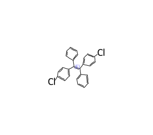 Clc1ccc(/C(=C(\c2ccccc2)c2ccc(Cl)cc2)c2ccccc2)cc1